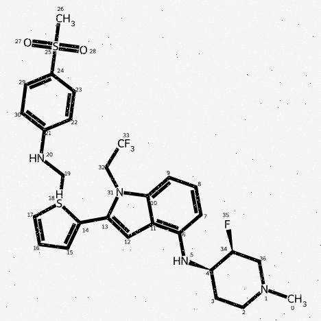 CN1CC[C@@H](Nc2cccc3c2cc(C2=CC=C[SH]2CNc2ccc(S(C)(=O)=O)cc2)n3CC(F)(F)F)[C@@H](F)C1